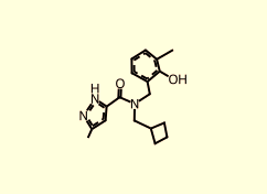 Cc1cc(C(=O)N(Cc2cccc(C)c2O)CC2CCC2)[nH]n1